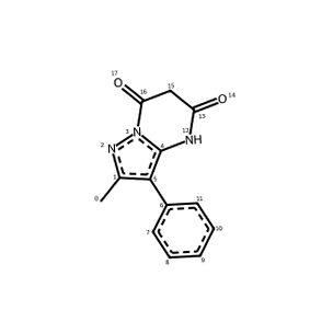 Cc1nn2c(c1-c1ccccc1)NC(=O)CC2=O